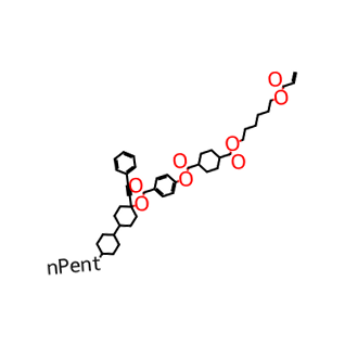 C=CC(=O)OCCCCCCOC(=O)C1CCC(C(=O)Oc2ccc(C(=O)OC3(C#Cc4ccccc4)CCC(C4CCC(CCCCC)CC4)CC3)cc2)CC1